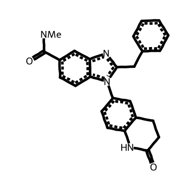 CNC(=O)c1ccc2c(c1)nc(Cc1ccccc1)n2-c1ccc2c(c1)CCC(=O)N2